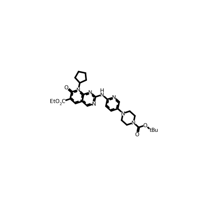 CCOC(=O)c1cc2cnc(Nc3ccc(N4CCN(C(=O)OC(C)(C)C)CC4)cn3)nc2n(C2CCCC2)c1=O